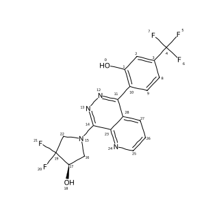 Oc1cc(C(F)(F)F)ccc1-c1nnc(N2C[C@@H](O)C(F)(F)C2)c2ncccc12